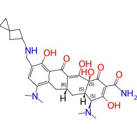 CN(C)c1cc(CNC2CC3(CC3)C2)c(O)c2c1C[C@H]1C[C@H]3[C@H](N(C)C)C(O)=C(C(N)=O)C(=O)[C@@]3(O)C(O)=C1C2=O